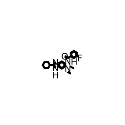 CCN(CC)c1cc2[nH]c(C3CCCCC3)nc2cc1NC(=O)c1cccc(F)c1